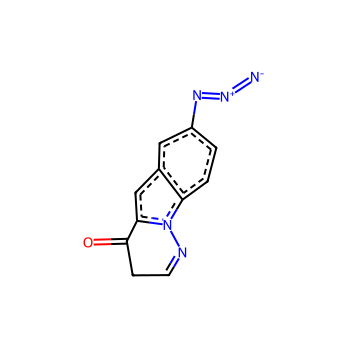 [N-]=[N+]=Nc1ccc2c(c1)cc1n2N=CCC1=O